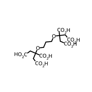 O=C(O)CC(CC(=O)O)(OCCCOC(CC(=O)O)(CC(=O)O)C(=O)O)C(=O)O